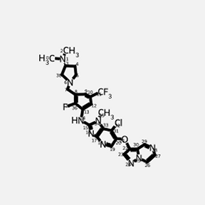 CN(C)[C@@H]1CCN(Cc2cc(C(F)(F)F)cc(Nc3nc4ncc(Oc5cnn6ccncc56)c(Cl)c4n3C)c2F)C1